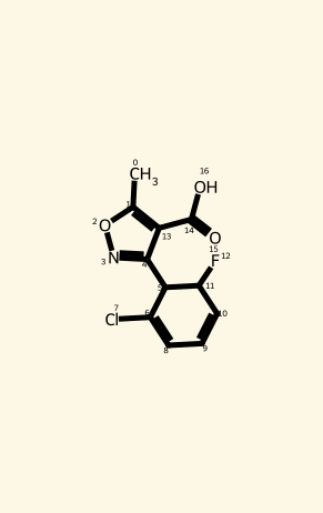 Cc1onc(C2C(Cl)=CC=CC2F)c1C(=O)O